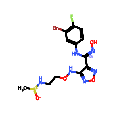 C[S+]([O-])NCCONc1nonc1/C(=N/O)Nc1ccc(F)c(Br)c1